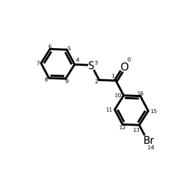 O=C(CSc1ccccc1)c1ccc(Br)cc1